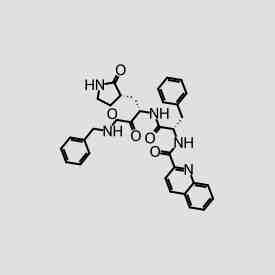 O=C(NCc1ccccc1)C(=O)[C@H](C[C@@H]1CCNC1=O)NC(=O)[C@H](Cc1ccccc1)NC(=O)c1ccc2ccccc2n1